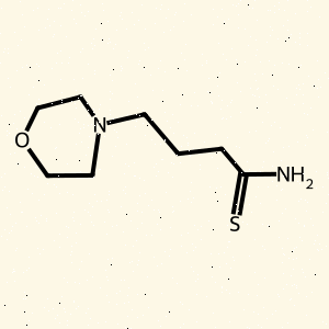 NC(=S)CCCN1CCOCC1